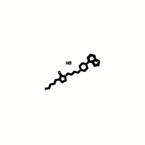 Cl.O=C1C(CCCCI)CCN1CCCCN1CCN(c2cccc3sccc23)CC1